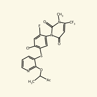 CC(=O)C(C)Oc1ncccc1Sc1cc(-n2c(=O)cc(C(F)(F)F)n(C)c2=O)c(F)cc1Cl